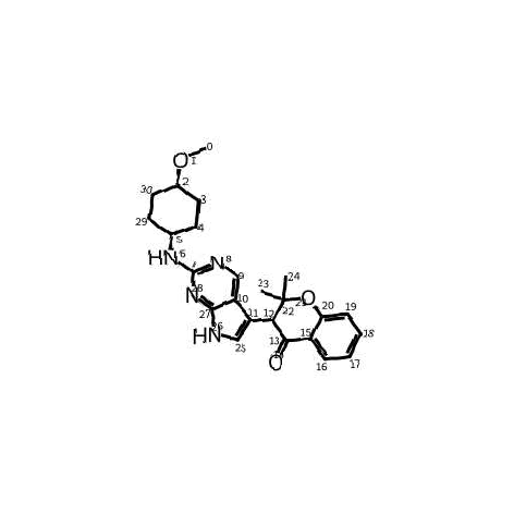 CO[C@H]1CC[C@@H](Nc2ncc3c(C4C(=O)c5ccccc5OC4(C)C)c[nH]c3n2)CC1